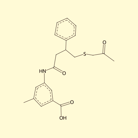 CC(=O)CSCC(CC(=O)Nc1cc(C)cc(C(=O)O)c1)c1ccccc1